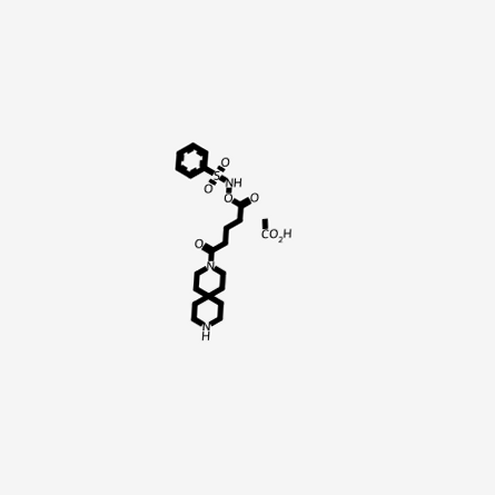 CC(=O)O.O=C(CCCC(=O)N1CCC2(CCNCC2)CC1)ONS(=O)(=O)c1ccccc1